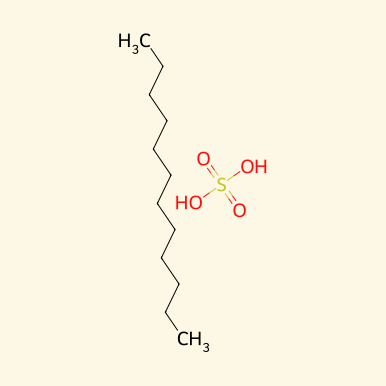 CCCCCCCCCCCC.O=S(=O)(O)O